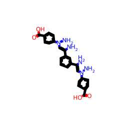 N/C(=C\N(N)c1ccc(C(=O)O)cc1)c1cccc(/C(N)=C/N(N)c2ccc(C(=O)O)cc2)c1